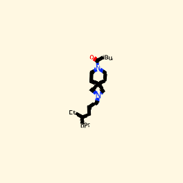 CCCC(CC)CCCN1CC2(CCN(C(=O)C(C)CC)CC2)C1